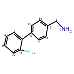 NCc1ccc(-c2c[c]ccc2F)cc1